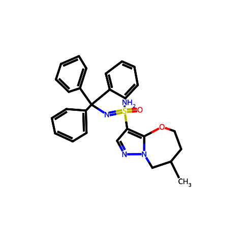 CC1CCOc2c(S(N)(=O)=NC(c3ccccc3)(c3ccccc3)c3ccccc3)cnn2C1